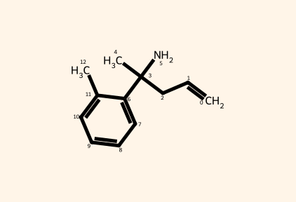 C=CCC(C)(N)c1ccccc1C